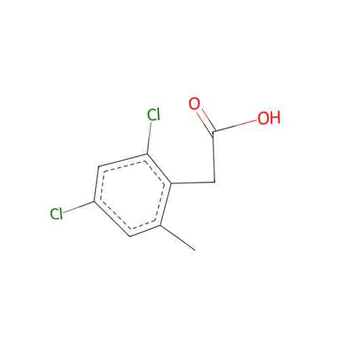 Cc1cc(Cl)cc(Cl)c1CC(=O)O